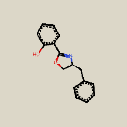 Oc1ccccc1C1=N[C@@H](Cc2ccccc2)CO1